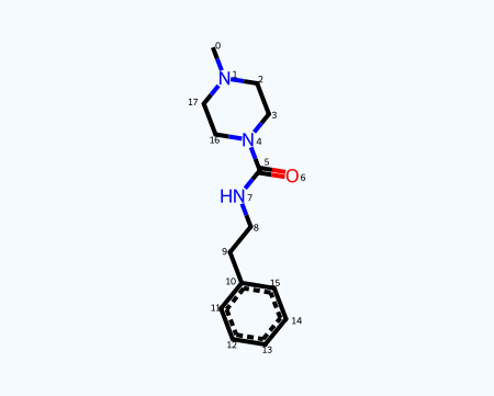 CN1CCN(C(=O)NCCc2ccccc2)CC1